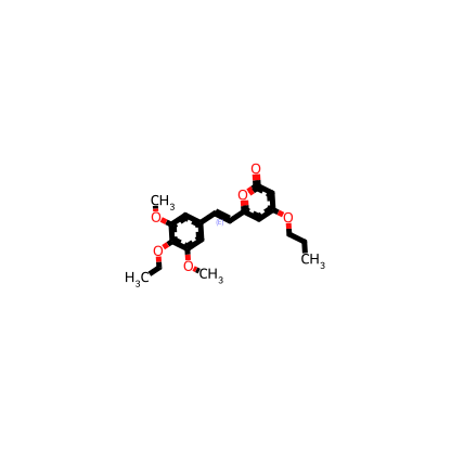 CCCOc1cc(/C=C/c2cc(OC)c(OCC)c(OC)c2)oc(=O)c1